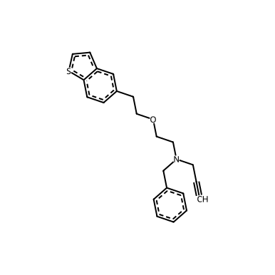 C#CCN(CCOCCc1ccc2sccc2c1)Cc1ccccc1